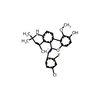 COc1c(O)ccc2c1-c1ccc3c(c1/C(=C/c1ccc(Cl)cc1F)O2)C(C)=CC(C)(C)N3